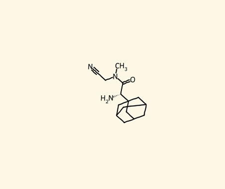 CN(CC#N)C(=O)[C@@H](N)C12CC3CC(CC(C3)C1)C2